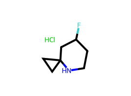 Cl.FC1CCNC2(CC2)C1